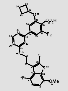 COc1ccc(F)c2c(CCNc3cc(-c4cc(F)c(C(=O)O)c(OC5CCC5)c4)ncn3)c(C)sc12